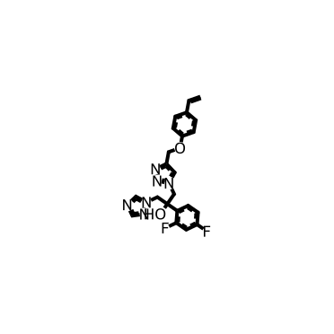 C=Cc1ccc(OCc2cn(CC(O)(Cn3cncn3)c3ccc(F)cc3F)nn2)cc1